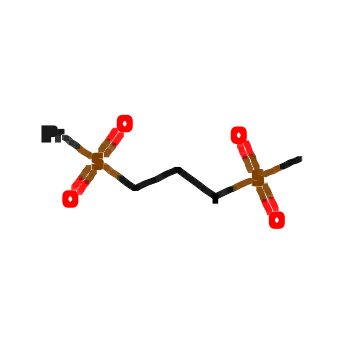 CC(C)S(=O)(=O)CC[CH]S(C)(=O)=O